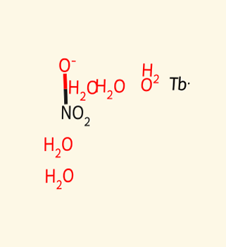 O.O.O.O.O.O=[N+]([O-])[O-].[Tb]